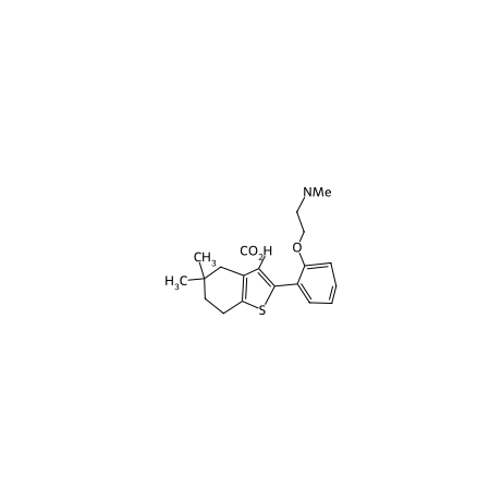 CNCCOc1ccccc1-c1sc2c(c1C(=O)O)CC(C)(C)CC2